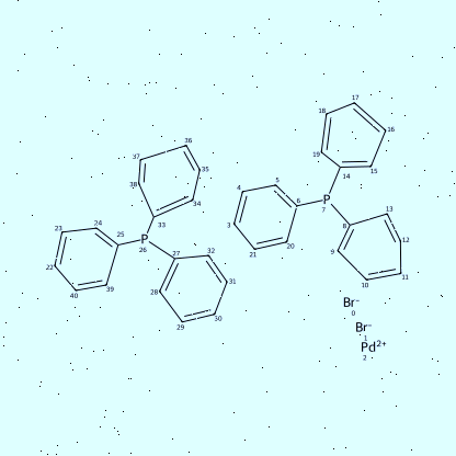 [Br-].[Br-].[Pd+2].c1ccc(P(c2ccccc2)c2ccccc2)cc1.c1ccc(P(c2ccccc2)c2ccccc2)cc1